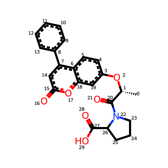 C[C@@H](Oc1ccc2c(-c3ccccc3)cc(=O)oc2c1)C(=O)N1CCCC1C(=O)O